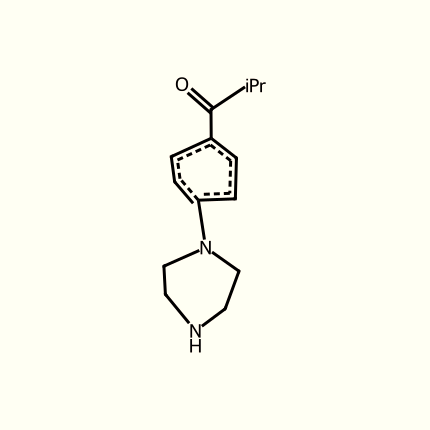 CC(C)C(=O)c1ccc(N2CCNCC2)cc1